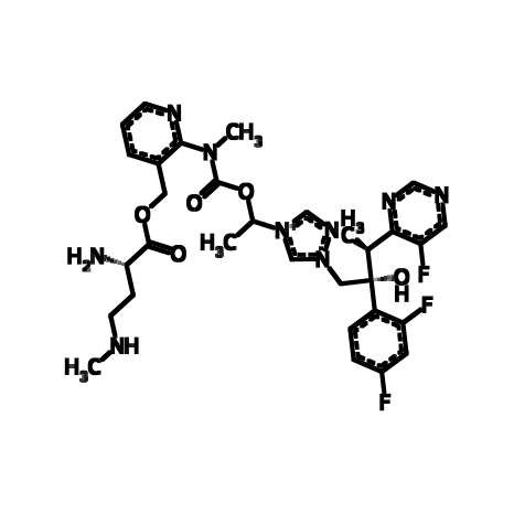 CNCC[C@H](N)C(=O)OCc1cccnc1N(C)C(=O)OC(C)[n+]1cnn(C[C@](O)(c2ccc(F)cc2F)[C@@H](C)c2ncncc2F)c1